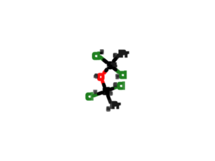 CC(C)[Si](Cl)(Cl)O[Si](Cl)(Cl)C(C)C